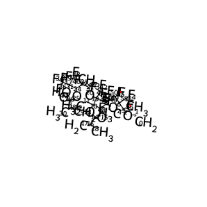 C=COC(C)(C)C(OCCC(CC)(OC(=O)C(=C)C)C(OCC(C)C(OC(=O)C(=C)C)C(O)(C(F)(F)F)C(F)(F)F)(C(F)(F)F)C(F)(F)F)(C(F)(F)F)C(F)(F)F